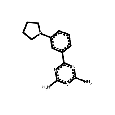 Nc1nc(N)nc(-c2cccc(N3CCCC3)c2)n1